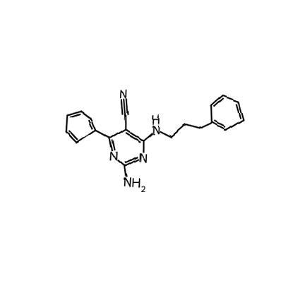 N#Cc1c(NCCCc2ccccc2)nc(N)nc1-c1ccccc1